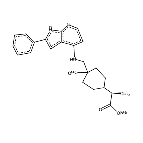 COC(=O)[C@H](N)C1CCC(C=O)(CNc2ccnc3[nH]c(-c4ccccc4)cc23)CC1